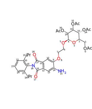 CC(=O)OCC1O[C@@H](OCCOc2cc3c(cc2N)C(=O)N(c2c(C(C)C)cccc2C(C)C)C3=O)C(OC(C)=O)C(OC(C)=O)[C@@H]1OC(C)=O